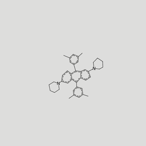 Cc1cc(C)cc(-c2c3ccc(N4CCCCC4)cc3c(-c3cc(C)cc(C)c3)c3ccc(N4CCCCC4)cc23)c1